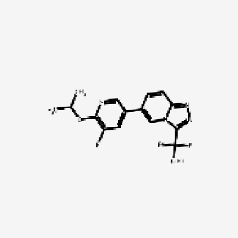 CC(C)COC(F)(F)c1nnc2ccc(-c3cnc(O[C@H](C)C(F)(F)F)c(F)c3)cn12